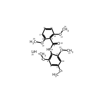 COc1cc(OC)c(PC(=O)c2c(OC)cccc2OC)c(OC)c1.[LiH]